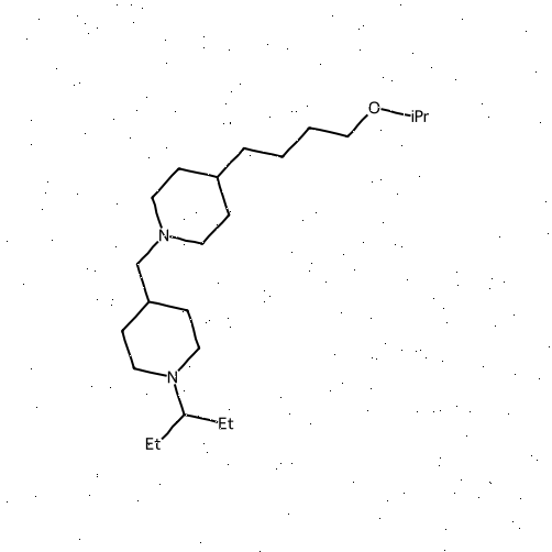 CCC(CC)N1CCC(CN2CCC(CCCCOC(C)C)CC2)CC1